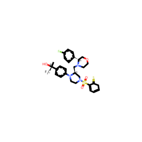 C[C@@](O)(c1ccc(N2CCN(S(=O)(=O)C3=CC=CCC3=S)C[C@@H]2CN2CCOC[C@H]2c2ccc(F)cc2)cc1)C(F)(F)F